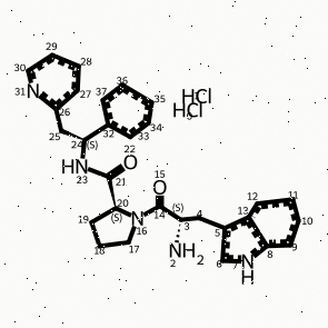 Cl.Cl.N[C@@H](Cc1c[nH]c2ccccc12)C(=O)N1CCC[C@H]1C(=O)N[C@@H](Cc1ccccn1)c1ccccc1